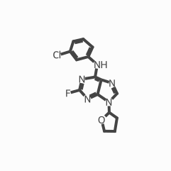 Fc1nc(Nc2cccc(Cl)c2)c2ncn(C3CCCO3)c2n1